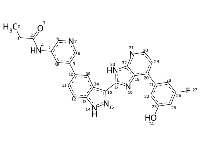 CCC(=O)Nc1cncc(-c2ccc3[nH]nc(-c4nc5c(-c6cc(O)cc(F)c6)ccnc5[nH]4)c3c2)c1